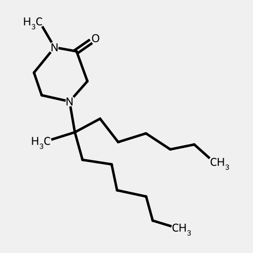 CCCCCCC(C)(CCCCCC)N1CCN(C)C(=O)C1